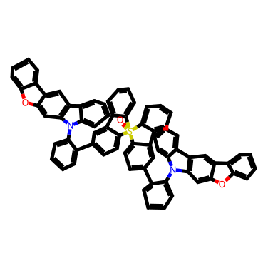 O=S12(c3ccccc3-c3cc(-c4ccccc4-n4c5ccccc5c5cc6c(cc54)oc4ccccc46)ccc31)c1ccccc1-c1cc(-c3ccccc3-n3c4ccccc4c4cc5c(cc43)oc3ccccc35)ccc12